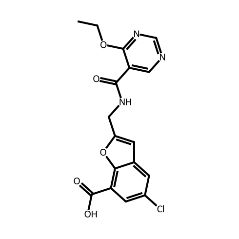 CCOc1ncncc1C(=O)NCc1cc2cc(Cl)cc(C(=O)O)c2o1